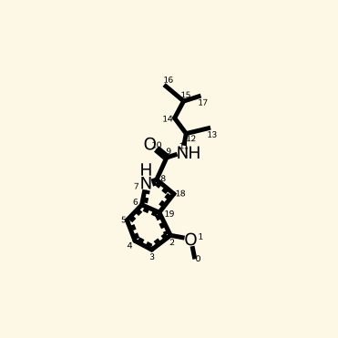 COc1cccc2[nH]c(C(=O)NC(C)CC(C)C)cc12